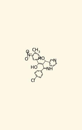 Cc1ccc(/C(O)=C(/C(=N)c2ccc(Cl)cc2)C(O)c2cccnc2)cc1[N+](=O)[O-]